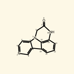 O=C1Cn2c3ccncc3c3cccc(c32)N1